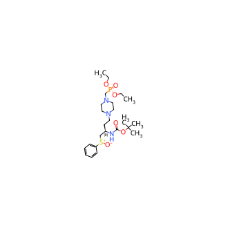 CCOP(=O)(CN1CCN(CC[C@H](C[S+]([O-])c2ccccc2)NC(=O)OC(C)(C)C)CC1)OCC